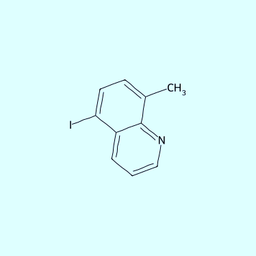 Cc1ccc(I)c2cccnc12